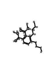 CCCCc1ccc(C(=O)OC)c(C(=O)OC)c1CCCC